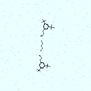 CC(C)(C)c1cc(CCC(=O)OCCCCCOC(=O)CCc2cc(C(C)(C)C)c(O)c(C(C)(C)C)c2)cc(C(C)(C)C)c1O